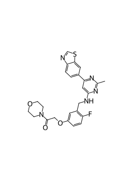 Cc1nc(NCc2cc(OCC(=O)N3CCOCC3)ccc2F)cc(-c2ccc3ncsc3c2)n1